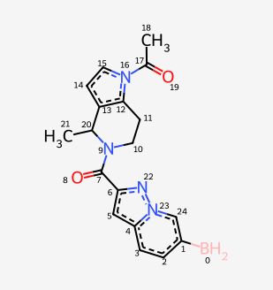 Bc1ccc2cc(C(=O)N3CCc4c(ccn4C(C)=O)C3C)nn2c1